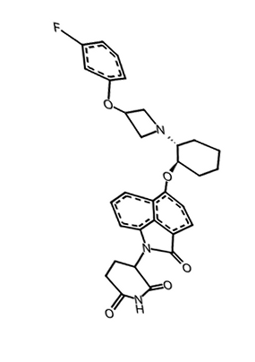 O=C1CCC(N2C(=O)c3ccc(O[C@@H]4CCCC[C@H]4N4CC(Oc5cccc(F)c5)C4)c4cccc2c34)C(=O)N1